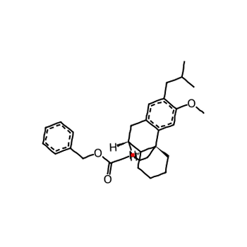 COc1cc2c(cc1CC(C)C)C[C@@H]1[C@@H]3CCCC[C@]23CCN1C(=O)OCc1ccccc1